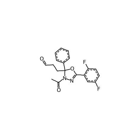 CC(=O)N1N=C(c2cc(F)ccc2F)OC1(CCC=O)c1ccccc1